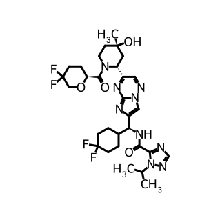 CC(C)n1ncnc1C(=O)N[C@H](c1cn2ncc([C@H]3C[C@@](C)(O)CCN3C(=O)[C@@H]3CCC(F)(F)CO3)nc2n1)C1CCC(F)(F)CC1